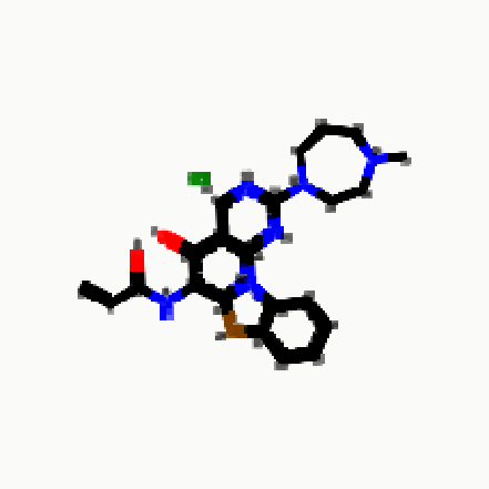 C=CC(=O)Nc1c(=O)c2cnc(N3CCCN(C)CC3)nc2n2c1sc1ccccc12.Cl